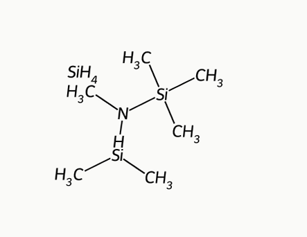 CN([SiH](C)C)[Si](C)(C)C.[SiH4]